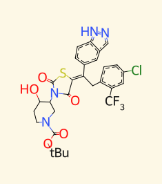 CC(C)(C)OC(=O)N1CCC(O)C(N2C(=O)S/C(=C(/Cc3ccc(Cl)cc3C(F)(F)F)c3ccc4[nH]ncc4c3)C2=O)C1